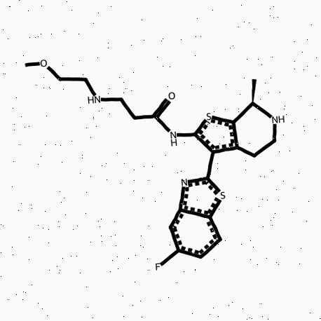 COCCNCCC(=O)Nc1sc2c(c1-c1nc3cc(F)ccc3s1)CCN[C@@H]2C